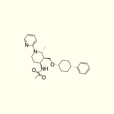 C[C@@H]1[C@@H](CO[C@H]2CC[C@@H](c3ccccc3)CC2)[C@@H](NS(C)(=O)=O)CCN1c1ccccn1